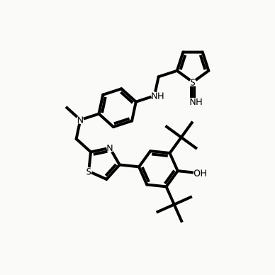 CN(Cc1nc(-c2cc(C(C)(C)C)c(O)c(C(C)(C)C)c2)cs1)c1ccc(NCC2=CC=CS2=N)cc1